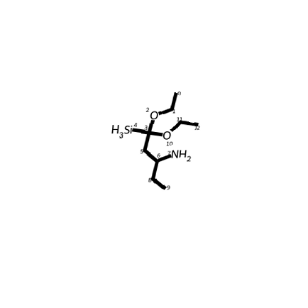 CCOC([SiH3])(CC(N)CC)OCC